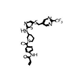 C=CC(=O)Nc1ccc(C(=O)N2CCCC(Nc3ncc(SCc4cnc(C(F)(F)F)nc4)s3)C2)cc1